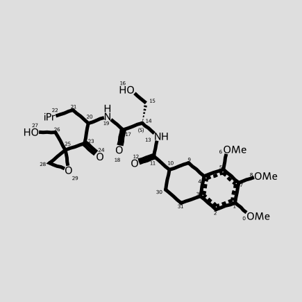 COc1cc2c(c(OC)c1OC)CC(C(=O)N[C@@H](CO)C(=O)NC(CC(C)C)C(=O)C1(CO)CO1)CC2